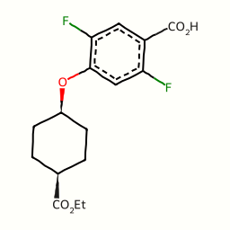 CCOC(=O)[C@H]1CC[C@@H](Oc2cc(F)c(C(=O)O)cc2F)CC1